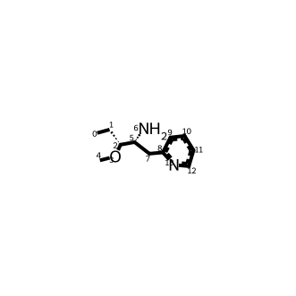 CC[C@@H](OC)[C@H](N)Cc1ccccn1